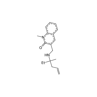 C=CCC(C)(CC)NCc1cc2ccccc2n(C)c1=O